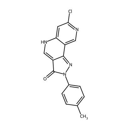 Cc1ccc(-n2nc3c4cnc(Cl)cc4[nH]cc-3c2=O)cc1